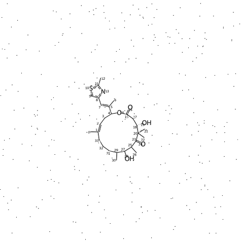 C/C1=C/CC(/C(C)=C/c2csc(C)n2)OC(=O)C[C@H](O)C(C)(C)C(=O)C(C)C(O)C(C)CCC1